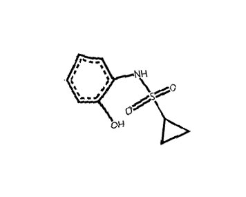 O=S(=O)(Nc1cc[c]cc1O)C1CC1